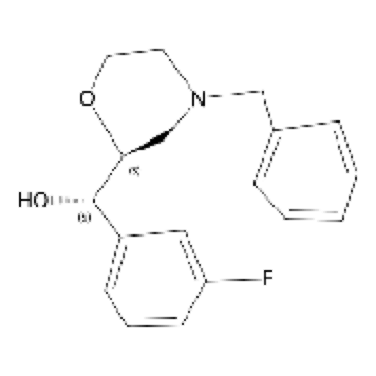 O[C@@H](c1cccc(F)c1)[C@@H]1CN(Cc2ccccc2)CCO1